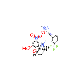 CN1CC[C@]23c4c5c([N+](=O)[O-])cc(O)c4O[C@H]2CCC[C@H]3[C@H]1C5.CNC(=O)/C=C/c1cccc(C(F)(F)F)c1